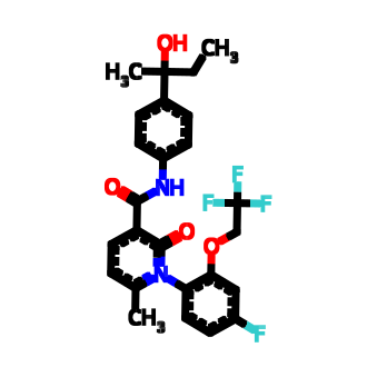 CCC(C)(O)c1ccc(NC(=O)c2ccc(C)n(-c3ccc(F)cc3OCC(F)(F)F)c2=O)cc1